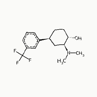 CN(C)[C@H]1C[C@@H](c2cccc(C(F)(F)F)c2)CC[C@@H]1O